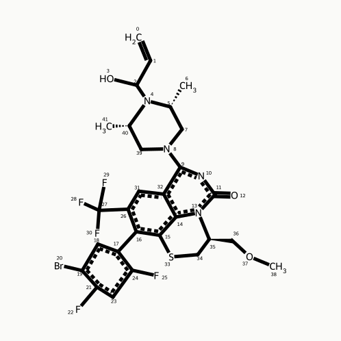 C=CC(O)N1[C@H](C)CN(c2nc(=O)n3c4c(c(-c5cc(Br)c(F)cc5F)c(C(F)(F)F)cc24)SC[C@@H]3COC)C[C@@H]1C